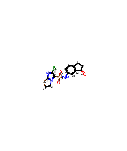 O=C1CCc2ccc(NS(=O)(=O)c3c(Br)nc4n3CCS4)cc21